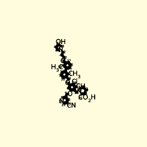 Cc1c(COc2cc(OCc3cncc(C#N)c3)c(CN3CCCC[C@H]3C(=O)O)c(C)c2Cl)cccc1-c1cccc(OCCCN2CC[C@@H](O)C2)c1C